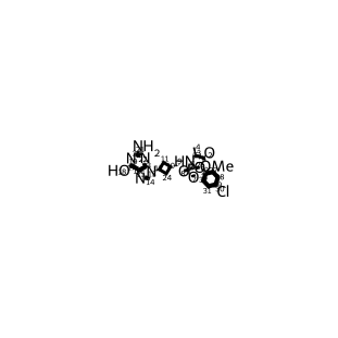 COC(=O)[C@H](C)NP(=O)(OC[C@H]1C[C@@H](n2cnc3c(O)nc(N)nc32)C1)Oc1ccc(Cl)cc1